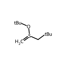 C=S(CC(C)(C)C)OC(C)(C)C